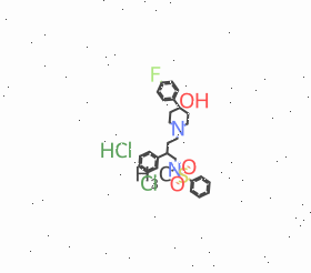 CN(CC(CCN1CCC(O)(c2ccc(F)cc2)CC1)c1cccc(Cl)c1)S(=O)(=O)c1ccccc1.Cl